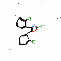 Clc1nc(-c2ccccc2Cl)c(-c2ccccc2Cl)o1